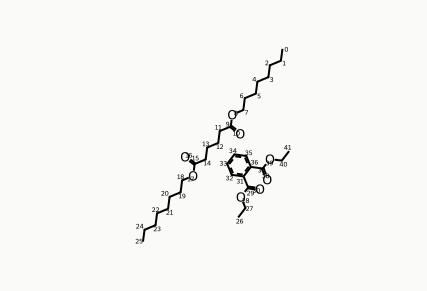 CCCCCCCCOC(=O)CCCCC(=O)OCCCCCCCC.CCOC(=O)c1ccccc1C(=O)OCC